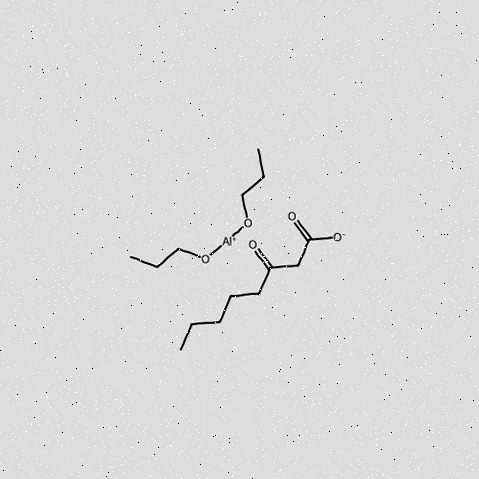 CCCCCC(=O)CC(=O)[O-].CCC[O][Al+][O]CCC